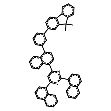 CC1(C)c2ccccc2-c2ccc(-c3cccc(-c4ccc(-c5cc(-c6cccc7ccccc67)nc(-c6cccc7ccccc67)n5)c5ccccc45)c3)cc21